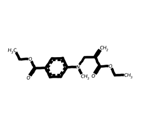 C=C(CN(C)c1ccc(C(=O)OCC)cc1)C(=O)OCC